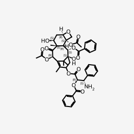 CC(=O)O[C@H]1C(=O)[C@@]2(C)[C@H]([C@H](OC(=O)c3ccccc3)[C@]3(O)CC(OC(=O)[C@H](OC(=O)c4ccccc4)[C@@H](N)c4ccccc4)C(C)=C1C3(C)C)[C@]1(OC(C)=O)CO[C@@H]1C[C@@H]2O